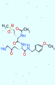 COc1ccc(CNC(=O)[C@H](CCC(=O)C=N)NC(=O)[C@H](CCS(C)(=O)=O)NC(C)=O)cc1